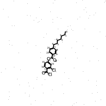 CCCCCCCc1ccc(C(=O)Oc2ccc(C(=O)Cl)c(Cl)c2)cc1